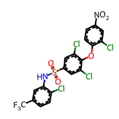 O=[N+]([O-])c1ccc(Oc2c(Cl)cc(S(=O)(=O)Nc3cc(C(F)(F)F)ccc3Cl)cc2Cl)c(Cl)c1